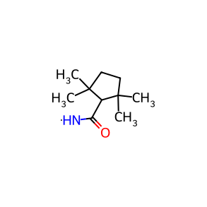 CC1(C)CCC(C)(C)C1C([NH])=O